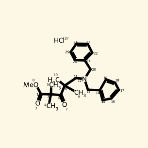 COC(=O)C(C)(C)C(=O)C(C)(C)CN(Cc1ccccc1)Cc1ccccc1.Cl